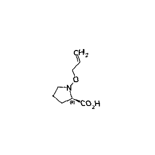 C=CCON1CCC[C@@H]1C(=O)O